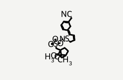 CC1(C)C2CCC1(CS(=O)(=O)ON=S1CC=CC1=C1C=CC=C(CC#N)C1)C(=O)C2